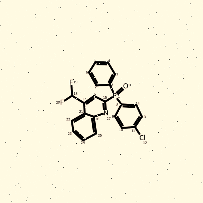 O=P(c1ccccc1)(c1ccc(Cl)cc1)c1cc(C(F)F)c2ccccc2n1